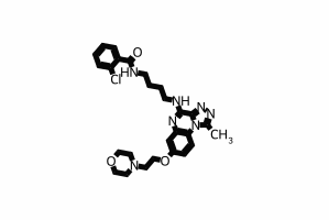 Cc1nnc2c(NCCCCNC(=O)c3ccccc3Cl)nc3cc(OCCN4CCOCC4)ccc3n12